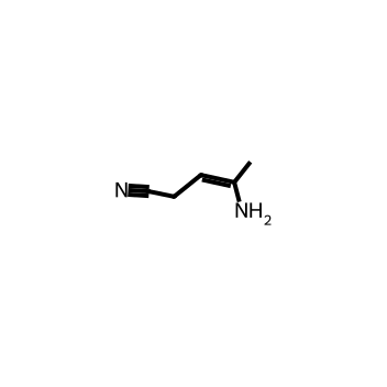 CC(N)=CCC#N